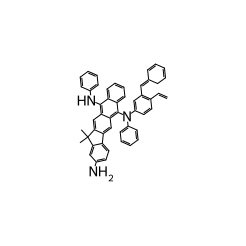 C=Cc1ccc(N(c2ccccc2)c2c3ccccc3c(Nc3ccccc3)c3cc4c(cc23)-c2ccc(N)cc2C4(C)C)cc1/C=C1/C=CC=CC1